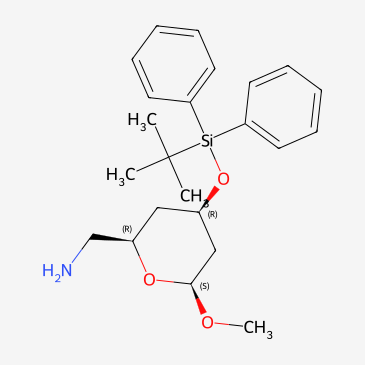 CO[C@@H]1C[C@H](O[Si](c2ccccc2)(c2ccccc2)C(C)(C)C)C[C@H](CN)O1